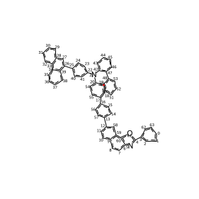 c1ccc(-c2nc3ccc4ccc(-c5ccc(-c6ccc(N(c7ccc(-c8cc9ccccc9c9ccccc89)cc7)c7ccccc7-c7ccccc7)cc6)cc5)cc4c3o2)cc1